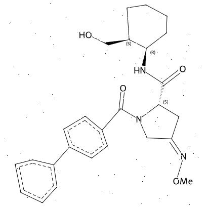 CON=C1C[C@@H](C(=O)N[C@@H]2CCCC[C@@H]2CO)N(C(=O)c2ccc(-c3ccccc3)cc2)C1